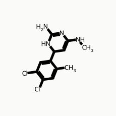 CNC1=CC(c2cc(Cl)c(Cl)cc2C)NC(N)=N1